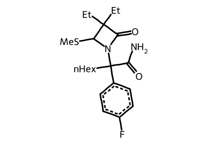 CCCCCCC(C(N)=O)(c1ccc(F)cc1)N1C(=O)C(CC)(CC)C1SC